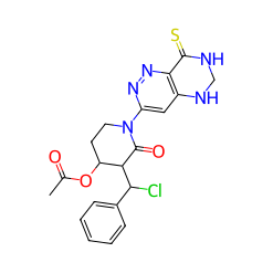 CC(=O)OC1CCN(c2cc3c(nn2)C(=S)NCN3)C(=O)C1C(Cl)c1ccccc1